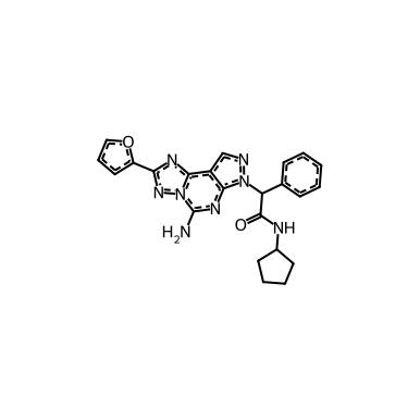 Nc1nc2c(cnn2C(C(=O)NC2CCCC2)c2ccccc2)c2nc(-c3ccco3)nn12